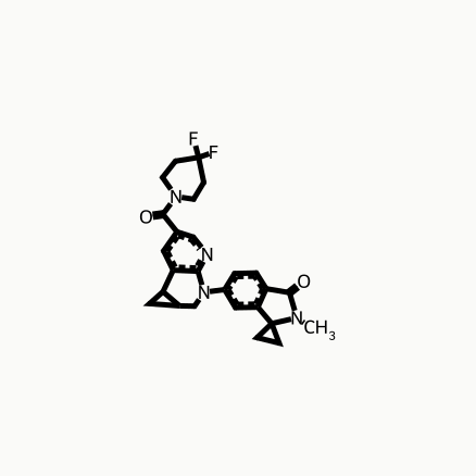 CN1C(=O)c2ccc(N3CC4CC4c4cc(C(=O)N5CCC(F)(F)CC5)cnc43)cc2C12CC2